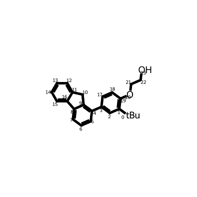 CC(C)(C)c1cc(-c2cccc3c2Cc2ccccc2-3)ccc1OCCO